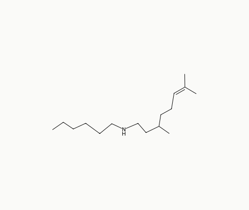 CCCCCCNCCC(C)CCC=C(C)C